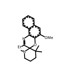 CCC1=Nc2c(c(OC)cc3ccccc23)OC12N(C)CCCC2(C)C